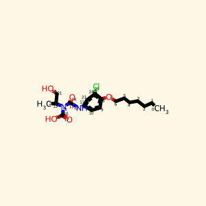 CCCCCCCOc1ccc(NC(=O)N(C(=O)O)C(C)CO)cc1Cl